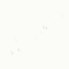 c1ccc(-c2nc3ccccc3n2-c2ccc(-c3ccc4c(c3)c3cccc5c3n4-c3ccccc3C5(c3ccccc3)c3ccccc3)cc2)cc1